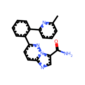 Cc1cccc(-c2ccccc2-c2ccc3ncc(C(N)=O)n3n2)n1